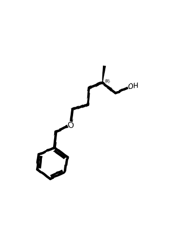 C[C@@H](CO)CCCOCc1ccccc1